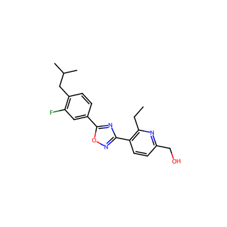 CCc1nc(CO)ccc1-c1noc(-c2ccc(CC(C)C)c(F)c2)n1